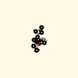 CC1(C2(C)c3ccccc3-c3ccc(N(c4ccccc4)c4cccc5c4oc4ccccc45)cc32)c2ccccc2-c2ccc(N(c3ccccc3)c3cccc4c3oc3ccccc34)cc21